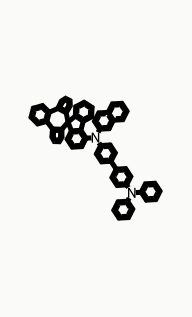 c1ccc(N(c2ccccc2)c2ccc(-c3ccc(N(c4ccc5ccccc5c4)c4cccc5c4-c4ccccc4C54c5ccccc5-c5ccccc5-c5ccccc54)cc3)cc2)cc1